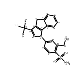 NS(=O)(=O)c1ccc(-n2nc(C(F)(F)F)c3c2-c2ccccc2C3)cc1CO